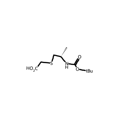 C[C@@H](CSCC(=O)O)NC(=O)OC(C)(C)C